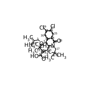 CC(C)COc1c(CN(C(=O)O)C(C)(C)C)n(CC(C)(C)C)c(=O)c2cc(Cl)c(Cl)cc12